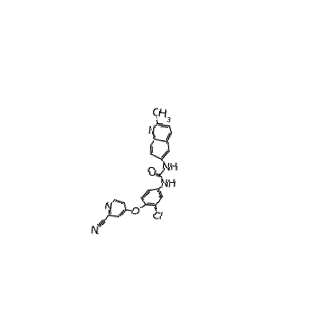 Cc1ccc2cc(NC(=O)Nc3ccc(Oc4ccnc(C#N)c4)c(Cl)c3)ccc2n1